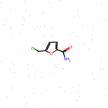 NC(=O)c1ccc(CCl)o1